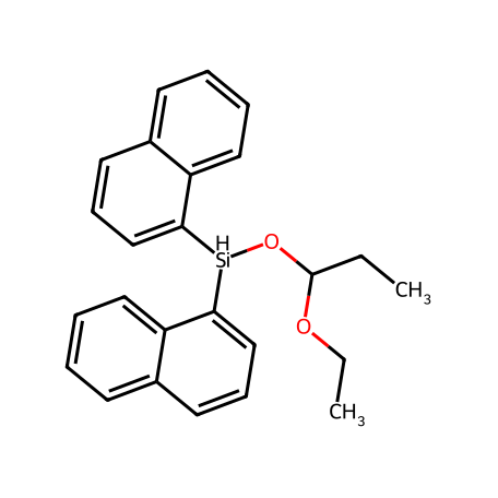 CCOC(CC)O[SiH](c1cccc2ccccc12)c1cccc2ccccc12